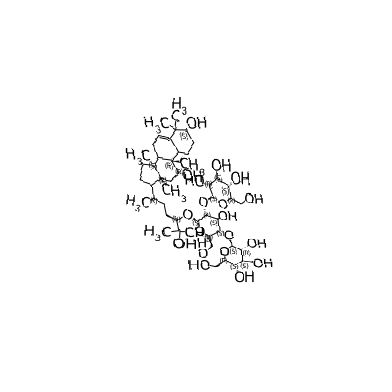 C[C@H](CC[C@@H](O[C@@H]1O[C@H](CO)[C@@H](O[C@@H]2O[C@H](CO)[C@@H](O)[C@H](O)[C@H]2O)[C@H](O)[C@H]1O[C@@H]1O[C@H](CO)[C@@H](O)[C@H](O)[C@H]1O)C(C)(C)O)C1CC[C@@]2(C)C3CC=C4C(CC[C@H](O)C4(C)C)[C@]3(C)[C@H](O)C[C@]12C